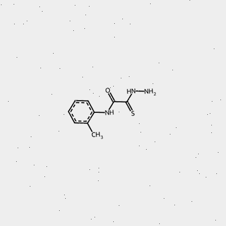 Cc1ccccc1NC(=O)C(=S)NN